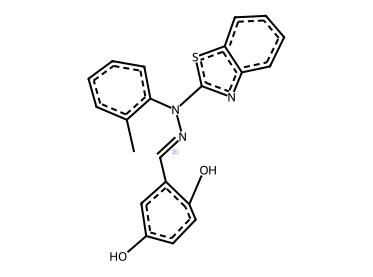 Cc1ccccc1N(/N=C/c1cc(O)ccc1O)c1nc2ccccc2s1